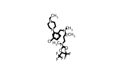 CCN1CCN(c2cc(Cl)ccc2CN(C)[C@H](C)CCN(C)C(=O)OC(C(F)(F)F)C(F)(F)F)CC1